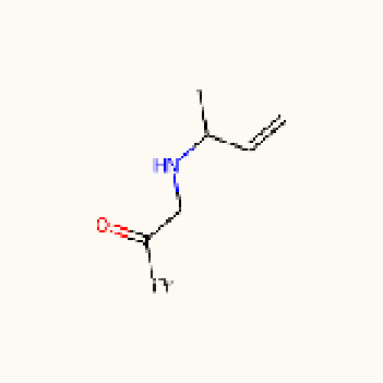 C=CC(C)NCC(=O)C(C)C